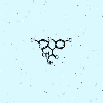 NNC(=O)C(c1ccc(Cl)cc1Cl)c1ccc(Cl)cc1Cl